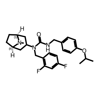 CC(C)Oc1ccc(CNC(=O)N(Cc2ccc(F)cc2F)C2C[C@H]3CC[C@@H](C2)N3C)cc1